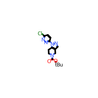 CC(C)(C)OC(=O)N1CCc2c(cnn2-c2ccc(Cl)nn2)C1